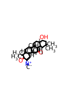 [C-]#[N+]C1=C[C@]2(C)[C@H]3CC(=O)[C@@H]4[C@@H]5CC(C)(C)CC[C@]5(CO)CC[C@@]4(C)[C@]3(C)CC[C@H]2C(C)(C)C1=O